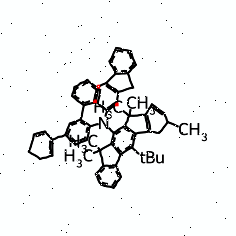 CC1C=CC2=C(C1)c1c(C(C)(C)C)c3c(c(N(C4=CC5=C(CC4)c4ccccc4C5)c4ccc(C5=CCCC=C5)cc4-c4c#cccc4)c1C2(C)C)C(C)(C)c1ccccc1-3